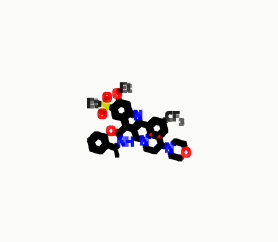 CCOc1cc2nc(-c3cccc(C(F)(F)F)c3)c(CN3CCC(N4CCOCC4)CC3)c(C(=O)N[C@@H](C)c3ccccc3)c2cc1S(=O)(=O)CC